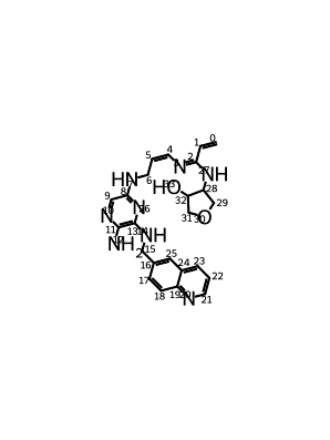 C=C/C(=N\C=C/CNc1cnc(N)c(NCc2ccc3ncccc3c2)n1)NC1COCC1O